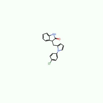 O=C1Nc2ccccc2C1Cc1cccn1-c1ccc(Cl)cc1